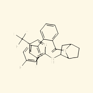 O=C(c1ccccc1-c1ncc(F)cn1)N1C2CCC1C(Nc1ncc(C(F)(F)F)cc1F)C2